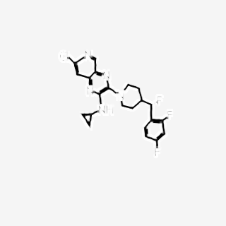 Fc1ccc([C@@H](F)C2CCN(c3nc4cnc(Cl)cc4nc3NC3CC3)CC2)c(F)c1